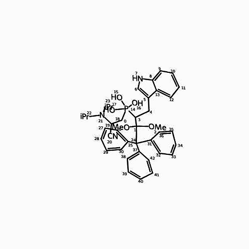 COC(OC)(C(Cc1c[nH]c2ccccc12)P(O)(O)(O)CC(C#N)N(C(C)C)C(C)C)C(c1ccccc1)(c1ccccc1)c1ccccc1